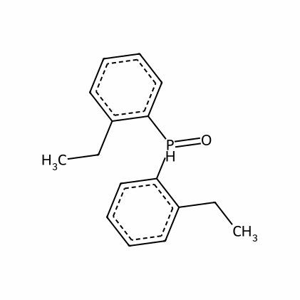 CCc1ccccc1[PH](=O)c1ccccc1CC